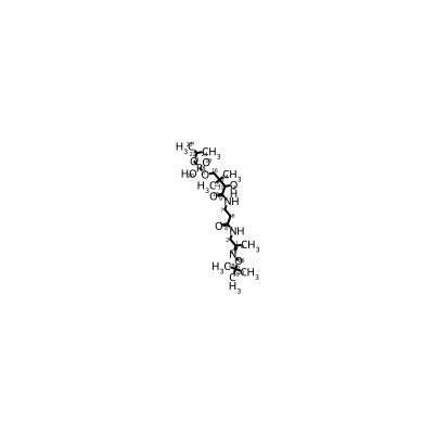 C/C(CNC(=O)CCNC(=O)C(O)C(C)(C)COP(=O)(O)OC(C)C)=N\OC(C)(C)C